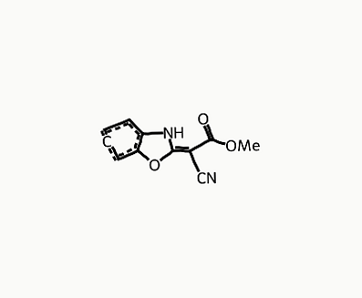 COC(=O)C(C#N)=C1Nc2ccccc2O1